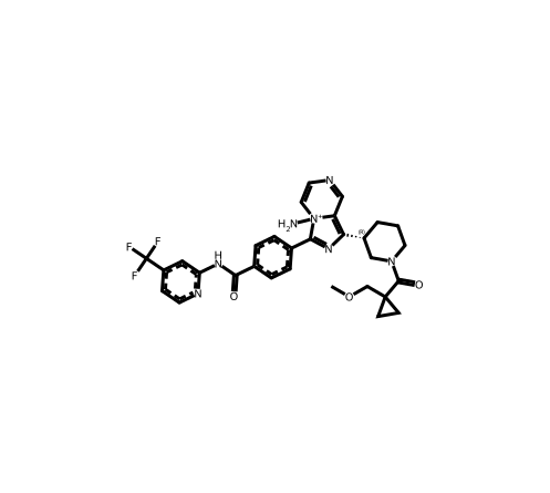 COCC1(C(=O)N2CCC[C@@H](C3=C4C=NC=C[N+]4(N)C(c4ccc(C(=O)Nc5cc(C(F)(F)F)ccn5)cc4)=N3)C2)CC1